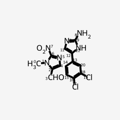 Cn1c(C=O)cnc1[N+](=O)[O-].Nc1ncc(-c2ccc(Cl)c(Cl)c2)[nH]1